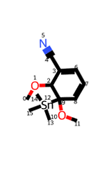 COC1C(C#N)=CC=C[C]1(OC)[Sn]([CH3])([CH3])[CH3]